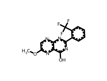 COc1cnc2nc(-c3ccccc3C(F)(F)F)nc(O)c2n1